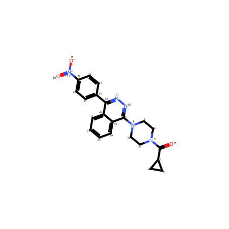 O=C(C1CC1)N1CCN(c2nnc(-c3ccc([N+](=O)[O-])cc3)c3ccccc23)CC1